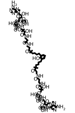 CC(C)(CCCCc1cccc(CCCCC(C)(C)C(=O)CCNC(=O)CCNC(=O)C(O)C(C)(C)COP(=O)(O)OP(=O)(O)OCC2OC(n3cnc4c(N)ncnc43)C(O)C2OP(=O)(O)O)c1O)C(=O)CCNC(=O)CCNC(=O)C(O)C(C)(C)COP(=O)(O)OP(=O)(O)OCC1OC(n2cnc3c(N)ncnc32)C(O)C1OP(=O)(O)O